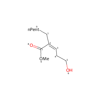 CCCCCCC(=CCCO)C(=O)OC